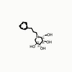 OC[C@@H]1[C@@H](O)[C@H](O)[C@@H](O)CN1CCCc1ccccc1